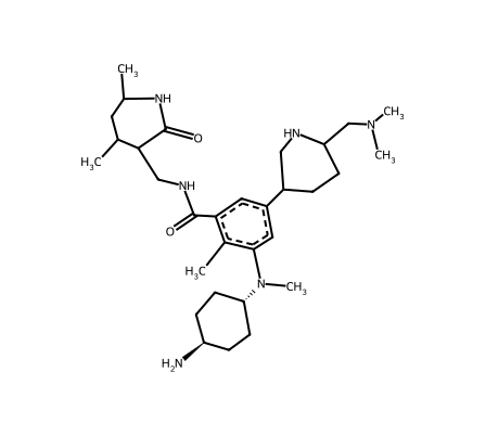 Cc1c(C(=O)NCC2C(=O)NC(C)CC2C)cc(C2CCC(CN(C)C)NC2)cc1N(C)[C@H]1CC[C@H](N)CC1